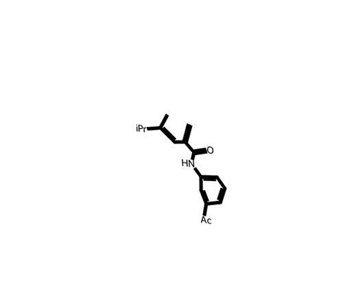 C=C(/C=C(\C)C(C)C)C(=O)Nc1cccc(C(C)=O)c1